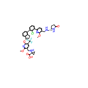 COc1nc(-c2cccc(-c3cccc4c3CC[C@@H]4Oc3nc(OC)c(CNC4(C(=O)O)CC4)cc3C(F)(F)F)c2Cl)ccc1CNC[C@@H]1CCC(=O)N1